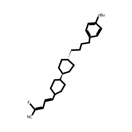 CCCCc1ccc(CCCC[C@H]2CC[C@H](C3CCC(/C=C/C=C(\F)C#N)CC3)CC2)cc1